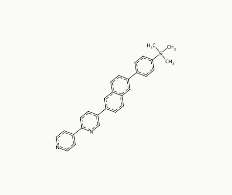 C[Si](C)(C)c1ccc(-c2ccc3cc(-c4ccc(-c5ccncc5)nc4)ccc3c2)cc1